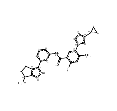 Cc1cc(F)c(C(=O)Nc2cccc(-c3nnc4n3CCC4C)n2)cc1-n1cnc(C2CC2)c1